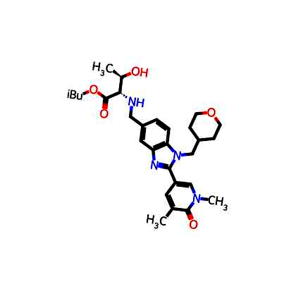 CCC(C)OC(=O)[C@@H](NCc1ccc2c(c1)nc(-c1cc(C)c(=O)n(C)c1)n2CC1CCOCC1)[C@@H](C)O